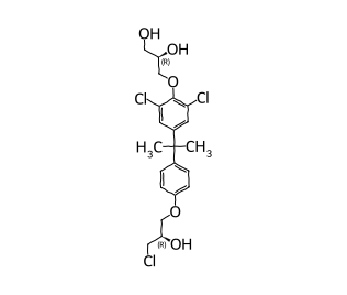 CC(C)(c1ccc(OC[C@@H](O)CCl)cc1)c1cc(Cl)c(OC[C@H](O)CO)c(Cl)c1